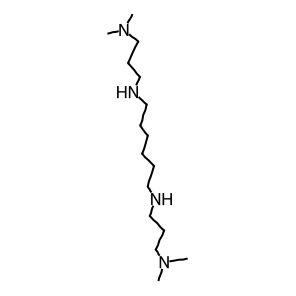 CN(C)CCCNCCCCCCNCCCN(C)C